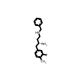 Cc1ccc(C[C@@H](N)[CH]CNCc2ccccc2)cc1F